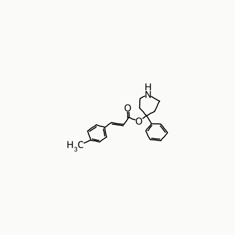 Cc1ccc(/C=C/C(=O)OC2(c3ccccc3)CCNCC2)cc1